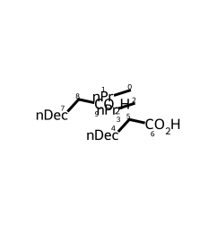 CCCC.CCCC.CCCCCCCCCCCC(=O)O.CCCCCCCCCCCC(=O)O